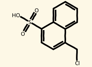 O=S(=O)(O)c1ccc(CCl)c2ccccc12